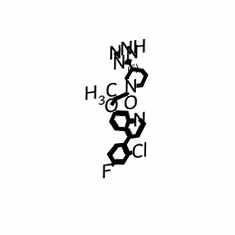 CC(Oc1ccc2c(-c3ccc(F)cc3Cl)ccnc2c1)C(=O)N1CCC[C@H](c2nn[nH]n2)C1